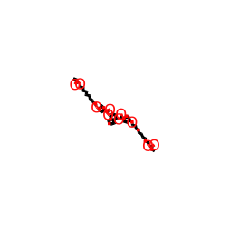 C=CC(=O)OCCCCCCCCCCOc1ccc(C(=O)Oc2ccc(OC(=O)c3ccc(OCCCCCCCCCCOC(=O)C=C)cc3)c3ccccc23)cc1